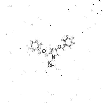 OCCN1CC(OCc2ccccc2)CC1COCc1ccccc1